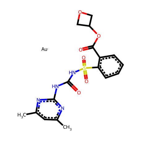 Cc1cc(C)nc(NC(=O)NS(=O)(=O)c2ccccc2C(=O)OC2COC2)n1.[Au]